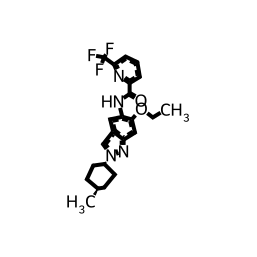 CCOc1cc2nn([C@H]3CC[C@H](C)CC3)cc2cc1NC(=O)c1cccc(C(F)(F)F)n1